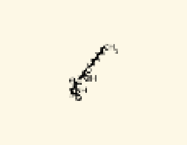 CCCCCCCCOCC(O)COC(=O)C1CCC(=O)N1